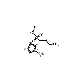 CCCCS(=O)(=O)OF.Cn1ccnc1